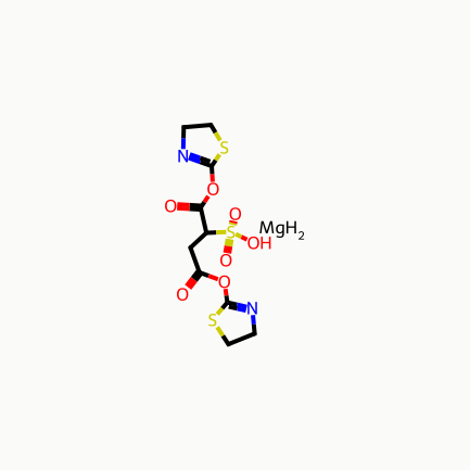 O=C(CC(C(=O)OC1=NCCS1)S(=O)(=O)O)OC1=NCCS1.[MgH2]